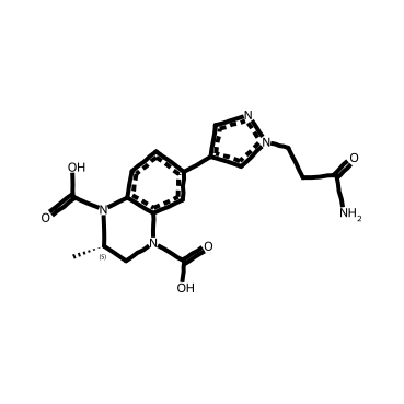 C[C@H]1CN(C(=O)O)c2cc(-c3cnn(CCC(N)=O)c3)ccc2N1C(=O)O